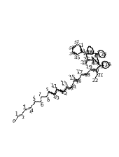 CCCCCCCCCC=CC=CC=CC=CC=CC=C(CC)C(=O)N1C(=O)O[C@H](c2ccccc2)[C@@H]1C